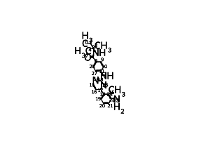 CCC(C)(C)NC(=O)c1ccc(Nc2nccc(-c3cccc(N)c3C)n2)cc1